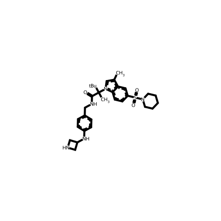 Cc1cn(C(C)(C(=O)NCc2ccc(NC3CNC3)cc2)C(C)(C)C)c2ccc(S(=O)(=O)N3CCCCC3)cc12